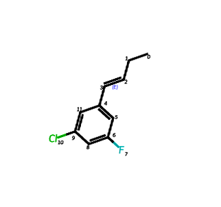 CC/C=C/c1cc(F)cc(Cl)c1